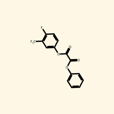 O=C(Oc1ccccc1)C(=O)Oc1ccc(F)c(C(F)(F)F)c1